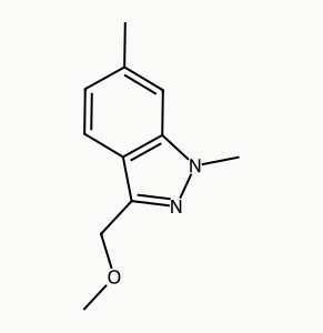 COCc1nn(C)c2cc(C)ccc12